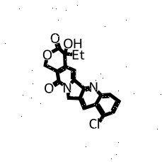 CCC1(O)C(=O)OCc2c1cc1n(c2=O)Cc2cc3c(Cl)cccc3nc2-1